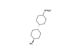 CCCCCCCC1CCC([C@H]2CC[C@H](C#N)CC2)CC1